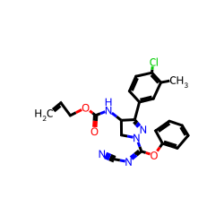 C=CCOC(=O)NC1CN(C(=NC#N)Oc2ccccc2)N=C1c1ccc(Cl)c(C)c1